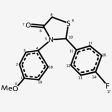 COc1ccc(N2C(=O)CSC2c2ccc(F)cc2)cc1